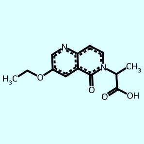 CCOc1cnc2ccn(C(C)C(=O)O)c(=O)c2c1